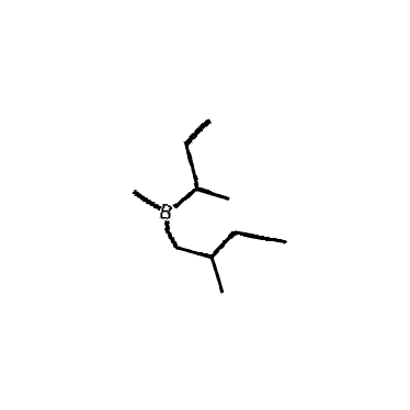 CCC(C)CB(C)C(C)CC